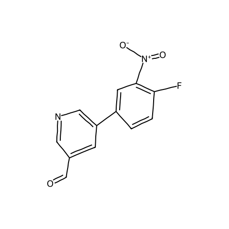 O=Cc1cncc(-c2ccc(F)c([N+](=O)[O-])c2)c1